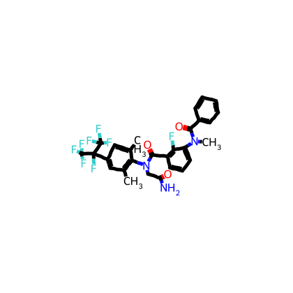 Cc1cc(C(F)(C(F)(F)F)C(F)(F)F)cc(C)c1N(CC(N)=O)C(=O)c1cccc(N(C)C(=O)c2ccccc2)c1F